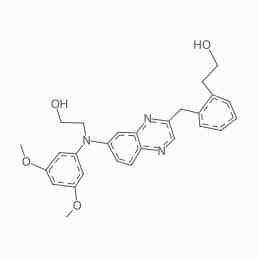 COc1cc(OC)cc(N(CCO)c2ccc3ncc(Cc4ccccc4CCO)nc3c2)c1